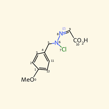 COc1ccc(CN(Cl)/N=C\C(=O)O)cc1